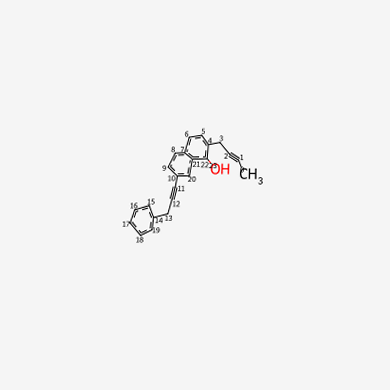 CC#CCc1ccc2ccc(C#CCc3ccccc3)cc2c1O